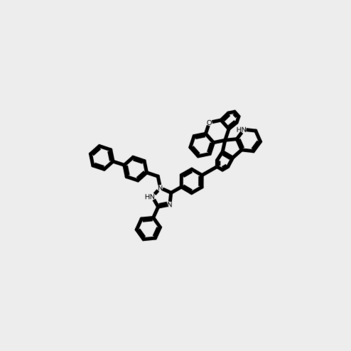 C1=CC2=C(NC1)C1(c3ccccc3Oc3ccccc31)c1cc(-c3ccc(C4N=C(c5ccccc5)NN4Cc4ccc(-c5ccccc5)cc4)cc3)ccc12